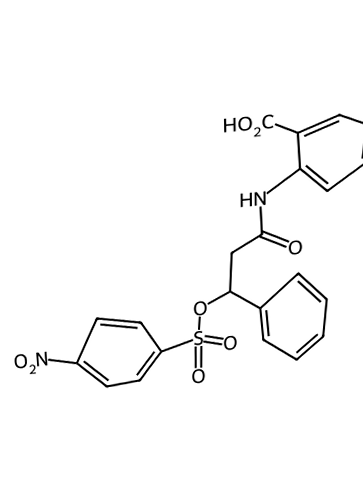 O=C(CC(OS(=O)(=O)c1ccc([N+](=O)[O-])cc1)c1ccccc1)Nc1ccccc1C(=O)O